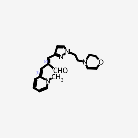 CN1C=CC=C/C1=C/C(C=O)=C/c1ccn(CCN2CCOCC2)n1